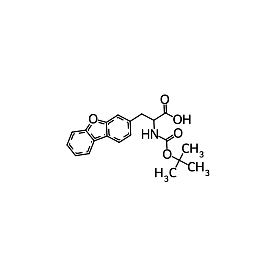 CC(C)(C)OC(=O)NC(Cc1ccc2c(c1)oc1ccccc12)C(=O)O